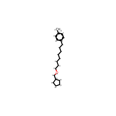 Cc1ccc(CCCCCCCCOCC2CCCC2)cc1